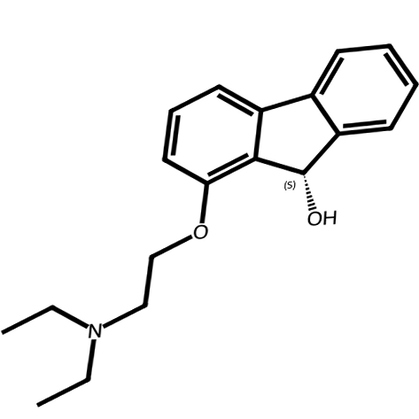 CCN(CC)CCOc1cccc2c1[C@@H](O)c1ccccc1-2